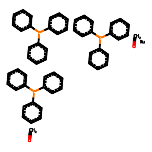 C=O.C=O.[Ru].c1ccc(P(c2ccccc2)c2ccccc2)cc1.c1ccc(P(c2ccccc2)c2ccccc2)cc1.c1ccc(P(c2ccccc2)c2ccccc2)cc1